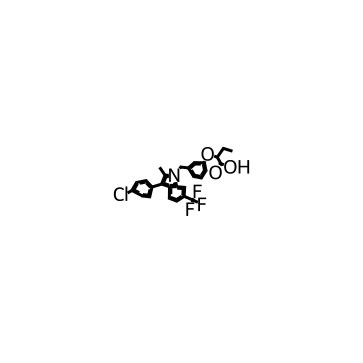 CCC(Oc1cccc(Cn2c(C)c(-c3ccc(Cl)cc3)c3ccc(C(F)(F)F)cc32)c1)C(=O)O